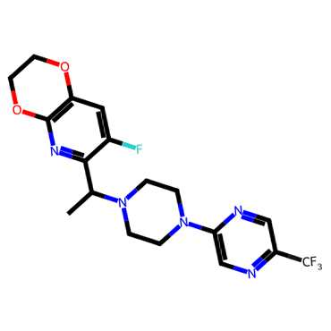 CC(c1nc2c(cc1F)OCCO2)N1CCN(c2cnc(C(F)(F)F)cn2)CC1